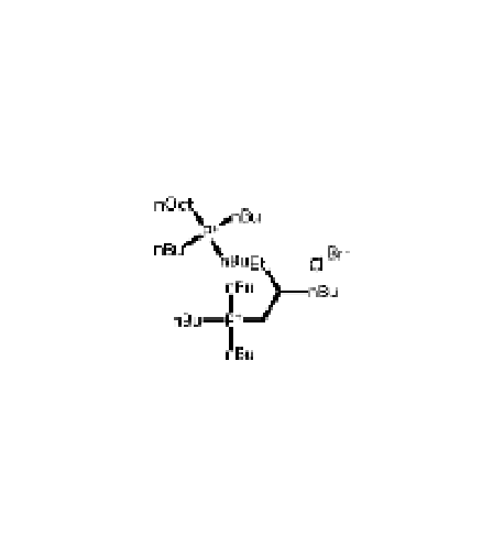 CCCCC(CC)C[P+](CCCC)(CCCC)CCCC.CCCCCCCC[P+](CCCC)(CCCC)CCCC.[Br-].[Cl-]